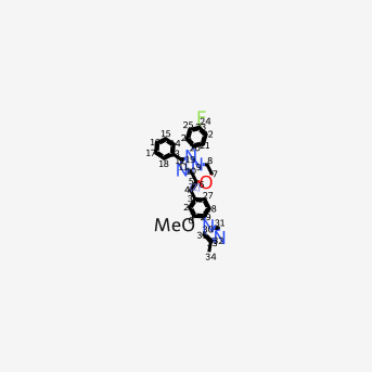 COc1cc(/C=C2\OCCN3C2=NC(c2ccccc2)N3c2ccc(F)cc2)ccc1-n1cnc(C)c1